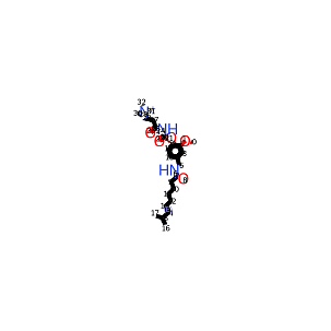 COc1cc(CNC(=O)CCCC/C=C/C(C)C)ccc1OC(=O)NC(=O)CC[N+](C)(C)C